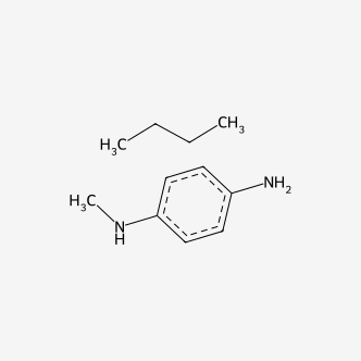 CCCC.CNc1ccc(N)cc1